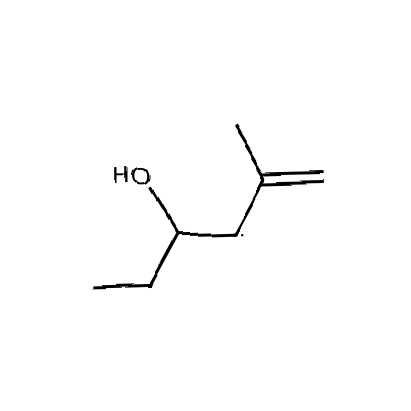 C=C(C)[CH]C(O)CC